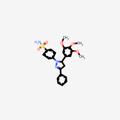 COc1cc(C2CC(c3ccccc3)=NN2c2ccc(S(N)(=O)=O)cc2)cc(OC)c1OC